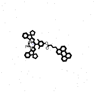 Cc1cc(OC(=O)CCCc2ccc3c4cccc5cccc(c6cccc2c63)c54)cc(C)c1/C(=C1\C=C2C(=N1)c1ccccc1C21CCCC1)c1cc2c(n1B(F)F)-c1ccccc1C21CCCC1